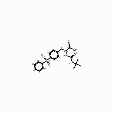 CC(C)(C)OC(=O)N[C@@H](Cc1ccc(S(=O)(=O)c2ccccc2)cc1)C(=O)O